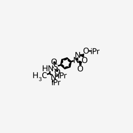 CC(C)Oc1nn(-c2ccc(S(=O)(=O)NC(C)N(C(C)C)C(C)C)cc2)c(=O)o1